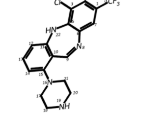 FC(F)(F)c1cc(Cl)c2c(c1)N=Cc1c(cccc1N1CCNCC1)N2